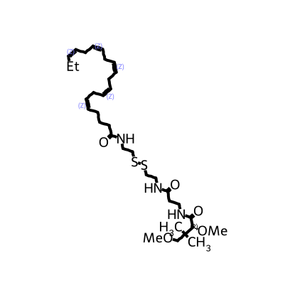 CC/C=C\C/C=C\C/C=C\C/C=C\C/C=C\CCCC(=O)NCCSSCCNC(=O)CCNC(=O)[C@H](OC)C(C)(C)COC